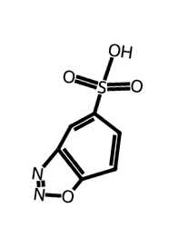 O=S(=O)(O)c1ccc2onnc2c1